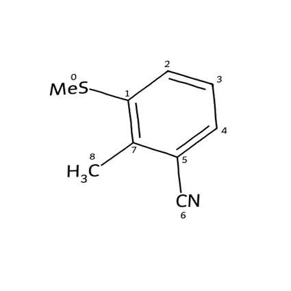 CSc1cccc(C#N)c1C